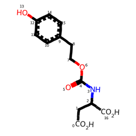 O=C(O)CC(NC(=O)OCCc1ccc(O)cc1)C(=O)O